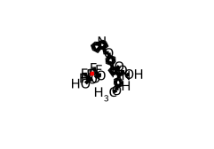 COC1CCC(C(C(=O)NO)N2CCC(c3ccc(OCc4ccnc5ccccc45)cc3)C2=O)CC1.O=C(O)C(F)(F)F.O=C(O)C(F)(F)F